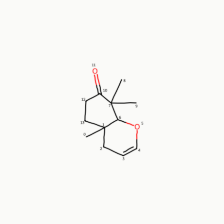 CC12CC=COC1C(C)(C)C(=O)CC2